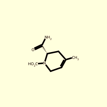 CC1=CCN(C(=O)O)[C@H](C(N)=O)C1